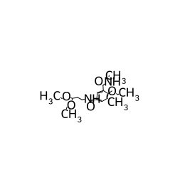 CCOc1c(C)cc(C(=O)NCCC(OCC)OCC)cc1C(=O)NC